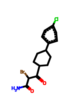 NC(=O)C(Br)C(=O)C1CCC(c2ccc(Cl)cc2)CC1